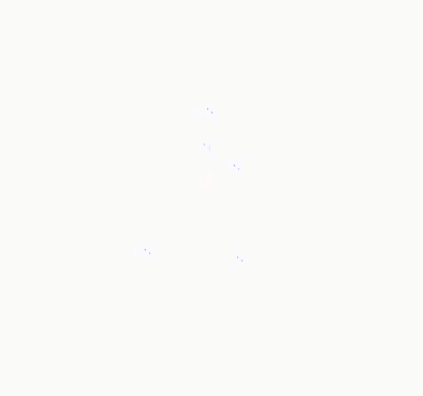 CC(Cc1ccc(-n2ccc(N)nc2=O)cc1)N1CCC(C2CNC2)CC1